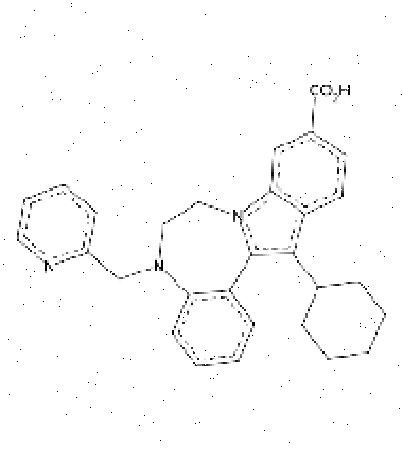 O=C(O)c1ccc2c(C3CCCCC3)c3n(c2c1)CCN(Cc1ccccn1)c1ccccc1-3